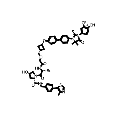 Cc1ncsc1-c1ccc(CNC(=O)[C@@H]2C[C@@H](O)CN2C(=O)[C@@H](NC(=O)COC[C@H]2C[C@H](Oc3ccc(-c4ccc(N5C(=S)N(c6ccc(C#N)c(C(F)(F)F)c6)C(=O)C5(C)C)cc4)cc3)C2)C(C)(C)C)cc1